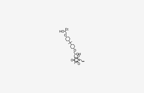 C=CCn1c(=O)n(C)c(=O)n(CC(O)COC2CCC(C(C)(C)C3CCC(OCC(O)CC)CC3)CC2)c1=O